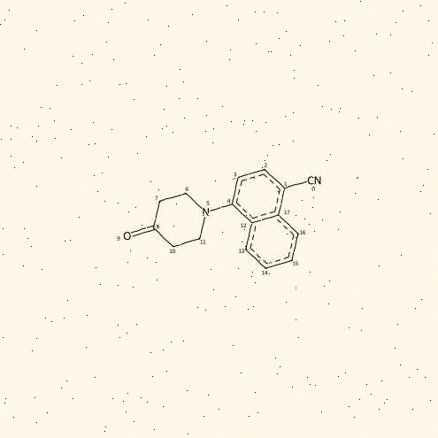 N#Cc1ccc(N2CCC(=O)CC2)c2ccccc12